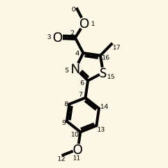 COC(=O)c1nc(-c2ccc(OC)cc2)sc1C